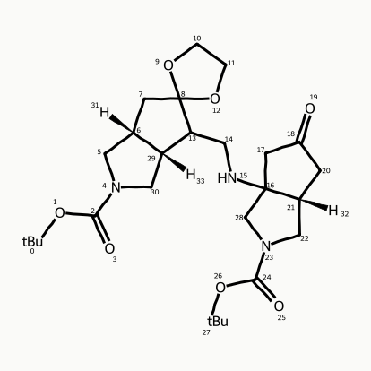 CC(C)(C)OC(=O)N1C[C@@H]2CC3(OCCO3)C(CNC34CC(=O)C[C@@H]3CN(C(=O)OC(C)(C)C)C4)[C@@H]2C1